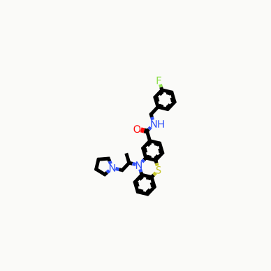 CC(CN1CCCC1)N1c2ccccc2Sc2ccc(C(=O)NCc3cccc(F)c3)cc21